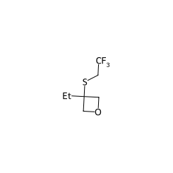 CCC1(SCC(F)(F)F)COC1